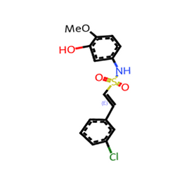 COc1ccc(NS(=O)(=O)/C=C/c2cccc(Cl)c2)cc1O